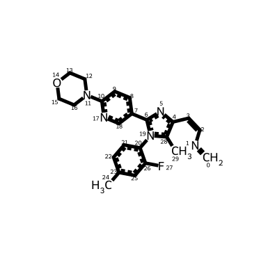 C=N/C=C\c1nc(-c2ccc(N3CCOCC3)nc2)n(-c2ccc(C)cc2F)c1C